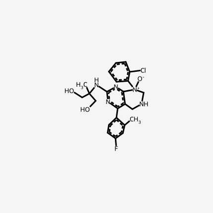 Cc1cc(F)ccc1-c1nc(NC(C)(CO)CO)nc2c1CNC[N+]2([O-])c1ccccc1Cl